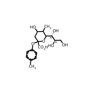 Cc1ccc(OC2(C(=O)O)CC(O)C(C)C([C@H](O)[C@H](O)CO)O2)cc1